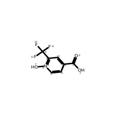 O=C(O)c1cc[n+](O)c(C(F)(F)F)c1